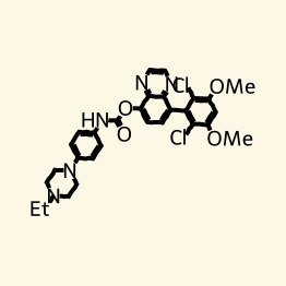 CCN1CCN(c2ccc(NC(=O)Oc3ccc(-c4c(Cl)c(OC)cc(OC)c4Cl)c4nccnc34)cc2)CC1